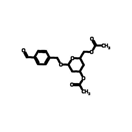 CC(=O)OCC1CC(OC(C)=O)CC(OCc2ccc(C=O)cc2)O1